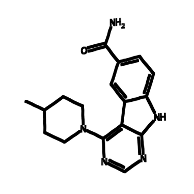 CC1CCN(c2ncnc3[nH]c4ccc(C(N)=O)cc4c23)CC1